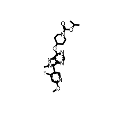 COc1cc(F)c(-c2c3ncnc(OC4CCN(C(=O)OC(C)C)CC4)c3nn2C)cn1